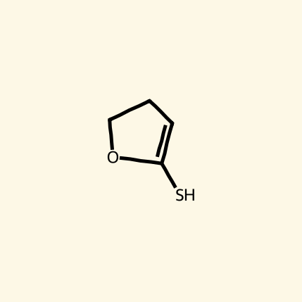 SC1=CCCO1